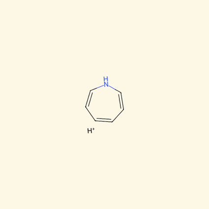 C1=CC=CNC=C1.[H+]